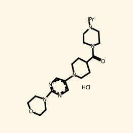 CC(C)N1CCN(C(=O)C2CCN(c3cnc(N4CCOCC4)nc3)CC2)CC1.Cl